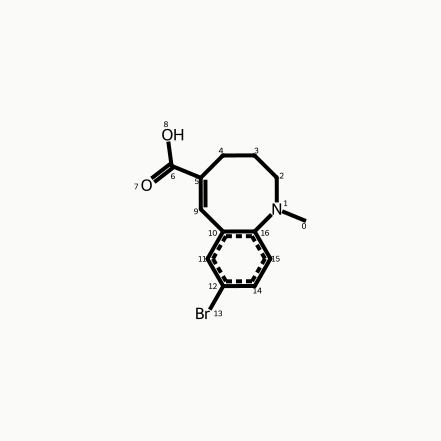 CN1CCC/C(C(=O)O)=C\c2cc(Br)ccc21